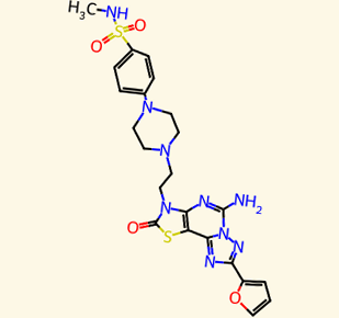 CNS(=O)(=O)c1ccc(N2CCN(CCn3c(=O)sc4c3nc(N)n3nc(-c5ccco5)nc43)CC2)cc1